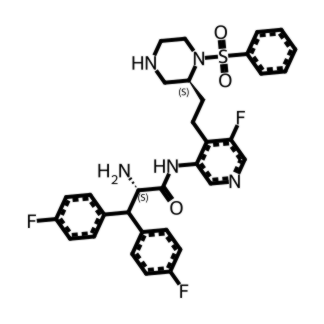 N[C@H](C(=O)Nc1cncc(F)c1CC[C@H]1CNCCN1S(=O)(=O)c1ccccc1)C(c1ccc(F)cc1)c1ccc(F)cc1